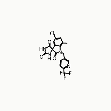 Cc1cc(Cl)cc2c1N(Cc1ccc(C(F)(F)F)nc1)C(=O)C21NC(=O)NC1=O